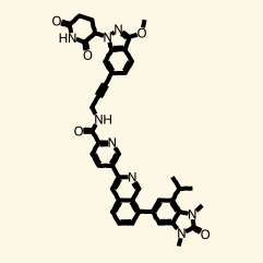 COc1nn(C2CCC(=O)NC2=O)c2cc(C#CCNC(=O)c3ccc(-c4cc5cccc(-c6cc(C(C)C)c7c(c6)n(C)c(=O)n7C)c5cn4)cn3)ccc12